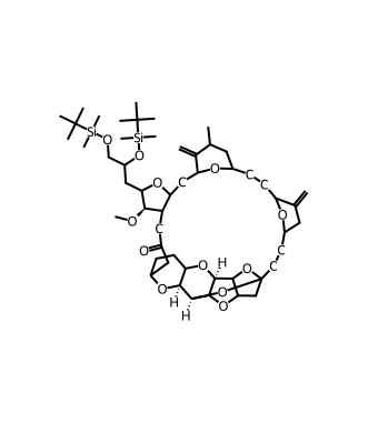 C=C1CC2CCC34CC5OC6[C@@H](OC7CCC(CC(=O)CC8C(CC9OC(CCC1O2)CC(C)C9=C)OC(CC(CO[Si](C)(C)C(C)(C)C)O[Si](C)(C)C(C)(C)C)[C@@H]8OC)O[C@@H]7[C@H]6O3)C5O4